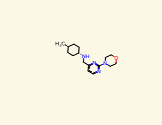 C[C@H]1CC[C@H](NCc2ccnc(N3CCOCC3)n2)CC1